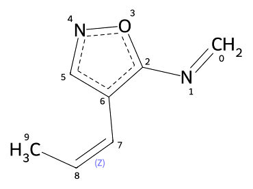 C=Nc1oncc1/C=C\C